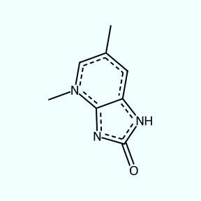 Cc1cc2[nH]c(=O)nc-2n(C)c1